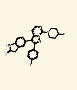 O=C1Cc2cc(-c3c(-c4ccc(F)cc4)nn4c(N5CCC(F)CC5)nccc34)ccc2N1